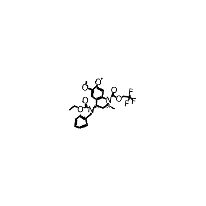 CCOC(=O)N(Cc1ccccc1)[C@@H]1C[C@H](C)N(C(=O)OCC(F)(F)F)c2cc(OC)c(OC)cc21